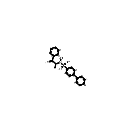 CCN(C(C)C(=O)c1ccccc1)S(=O)(=O)c1ccc(-c2ccccc2)cc1